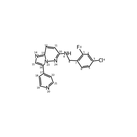 Fc1cc(Cl)ccc1CNc1ccc2ncc(-c3ccncc3)n2n1